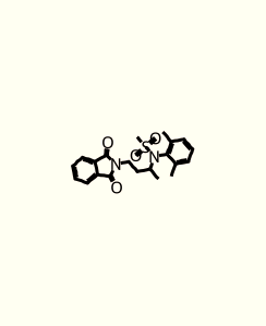 Cc1cccc(C)c1N(C(C)CCN1C(=O)c2ccccc2C1=O)S(C)(=O)=O